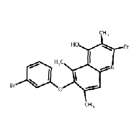 CCc1nc2cc(C)c(Oc3cccc(Br)c3)c(C)c2c(O)c1C